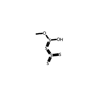 COS(O)=S=S(=S)=S